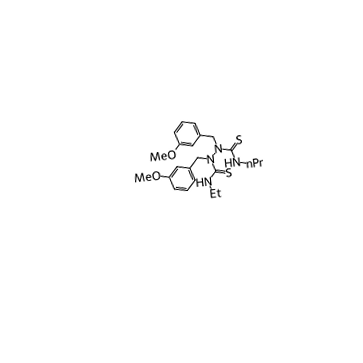 CCCNC(=S)N(Cc1cccc(OC)c1)N(Cc1cccc(OC)c1)C(=S)NCC